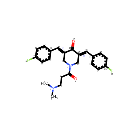 CN(C)CCC(=O)N1C/C(=C\c2ccc(F)cc2)C(=O)/C(=C/c2ccc(F)cc2)C1